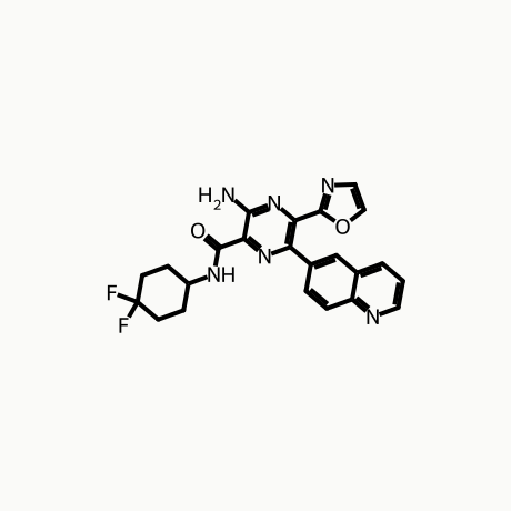 Nc1nc(-c2ncco2)c(-c2ccc3ncccc3c2)nc1C(=O)NC1CCC(F)(F)CC1